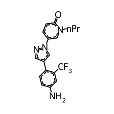 CCCn1cc(-n2cc(-c3ccc(N)cc3C(F)(F)F)cn2)ccc1=O